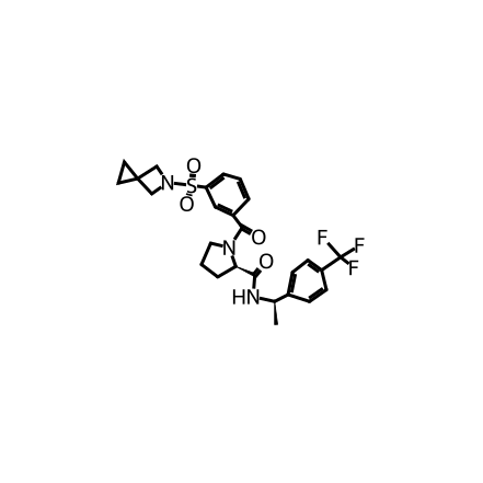 C[C@@H](NC(=O)[C@H]1CCCN1C(=O)c1cccc(S(=O)(=O)N2CC3(CC3)C2)c1)c1ccc(C(F)(F)F)cc1